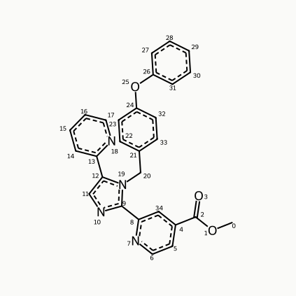 COC(=O)c1ccnc(-c2ncc(-c3ccccn3)n2Cc2ccc(Oc3ccccc3)cc2)c1